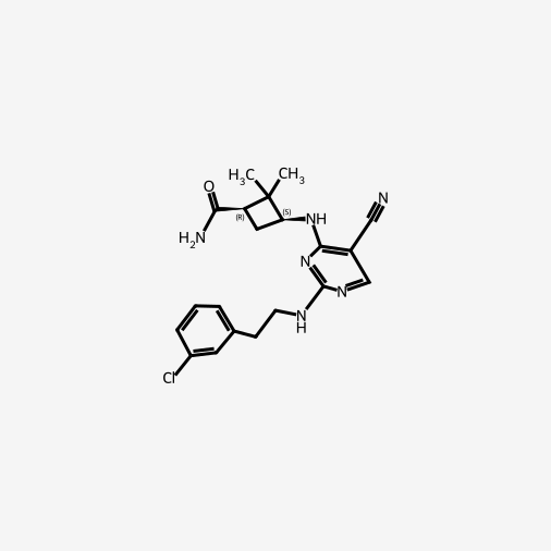 CC1(C)[C@@H](Nc2nc(NCCc3cccc(Cl)c3)ncc2C#N)C[C@H]1C(N)=O